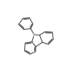 C1=CC2c3ccccc3P(c3ccccc3)C2C=C1